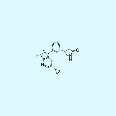 O=C1CC(c2cccc(-c3n[nH]c4ncc(C5CC5)cc34)c2)CN1